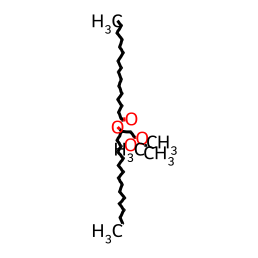 CCCCCCCCCCCCCCCC(=O)OC(CCCCCCCCCCCCCCC)CC(=O)OC(C)(C)C